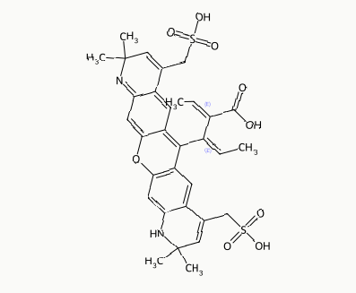 C/C=C(C1=c2cc3c(cc2Oc2cc4c(cc21)C(CS(=O)(=O)O)=CC(C)(C)N4)=NC(C)(C)C=C3CS(=O)(=O)O)\C(=C/C)C(=O)O